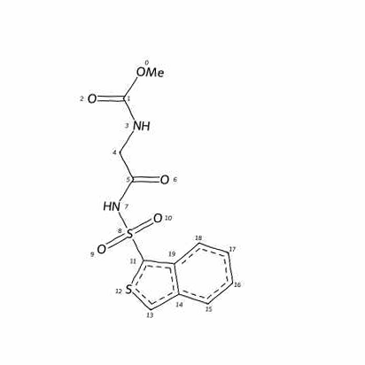 COC(=O)NCC(=O)NS(=O)(=O)c1scc2ccccc12